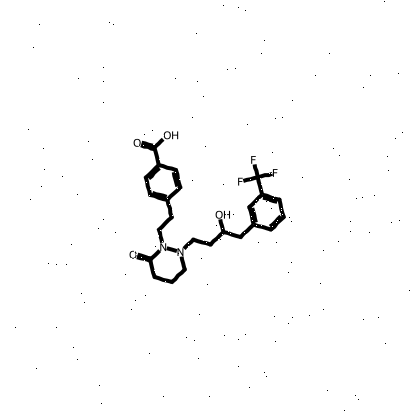 O=C(O)c1ccc(CCN2C(=O)CCCN2CCC(O)Cc2cccc(C(F)(F)F)c2)cc1